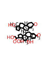 C[C@]12C=CC(=O)C=C1CC[C@@H]1[C@@H]2[C@@H](O)C[C@@]2(C)[C@H]1CC[C@]2(O)C(=O)CO.C[C@]12CC[C@H]3[C@@H](CCC4=CC(=O)CC[C@@]43C)[C@@H]1CC[C@@H]2O